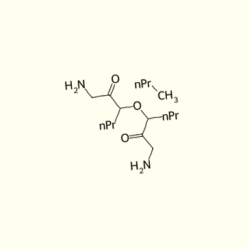 CCCC.CCCC(OC(CCC)C(=O)CN)C(=O)CN